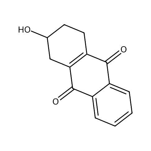 O=C1C2=C(CC(O)CC2)C(=O)c2ccccc21